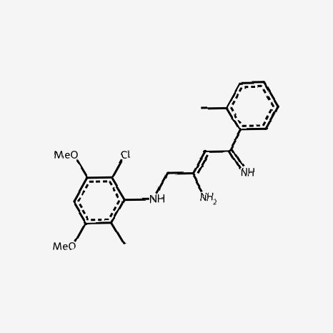 COc1cc(OC)c(Cl)c(NC/C(N)=C/C(=N)c2ccccc2C)c1C